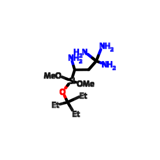 CCC(CC)(CC)O[Si](OC)(OC)C(N)CC(N)(N)N